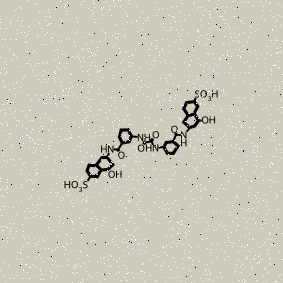 O=C(Nc1cccc(C(=O)Nc2cc(O)c3cc(S(=O)(=O)O)ccc3c2)c1)C(=O)Nc1cccc(C(=O)Nc2cc(O)c3cc(S(=O)(=O)O)ccc3c2)c1